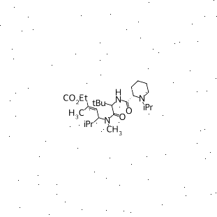 CCOC(=O)/C(C)=C/C(C(C)C)N(C)C(=O)C(NC(=O)[C@@H]1CCCCN1C(C)C)C(C)(C)C